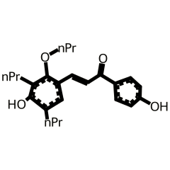 CCCOc1c(C=CC(=O)c2ccc(O)cc2)cc(CCC)c(O)c1CCC